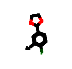 CC(=O)c1cc(C2OCCO2)ccc1F